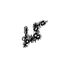 CN1CCN(C(C)(C)c2nnc3ccc(O[C@@H]4CC[C@H](NC(=O)Nc5cc(C(=O)NCCOC=O)nc(C(C)(C)C)c5)c5ccccc54)cn23)CC1